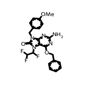 COc1ccc(Cn2c(=O)n(C(F)C(F)F)c3c(OCc4ccccc4)nc(N)nc32)cc1